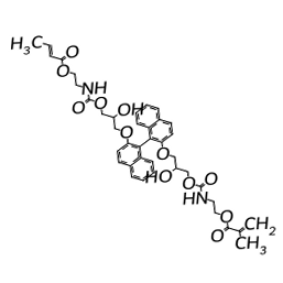 C=C(C)C(=O)OCCNC(=O)OCC(O)COc1ccc2ccccc2c1-c1c(OCC(O)COC(=O)NCCOC(=O)C=CC)ccc2ccccc12